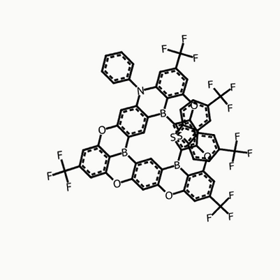 FC(F)(F)c1cc2c3c(c1)Oc1cc4c(cc1B3c1cc3c(cc1O2)Oc1cc(C(F)(F)F)cc2c1B3c1sc3ccc(C(F)(F)F)cc3c1O2)B1c2sc3ccc(C(F)(F)F)cc3c2Oc2cc(C(F)(F)F)cc(c21)N4c1ccccc1